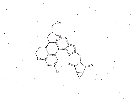 O=C1C2CC2C(=O)N1Cc1cc2nccc(-c3cc(Cl)cc4c3N([C@@H]3CN[C@@H](CO)C3)CCO4)c2s1